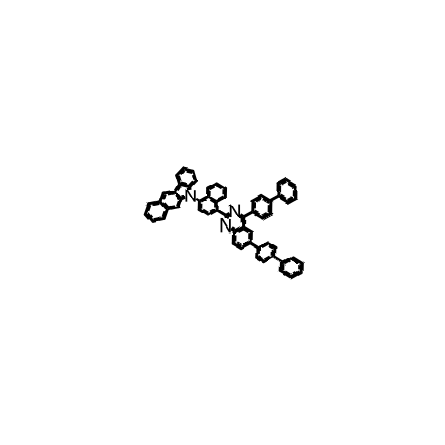 c1ccc(-c2ccc(-c3ccc4nc(-c5ccc(-n6c7ccccc7c7cc8ccccc8cc76)c6ccccc56)nc(-c5ccc(-c6ccccc6)cc5)c4c3)cc2)cc1